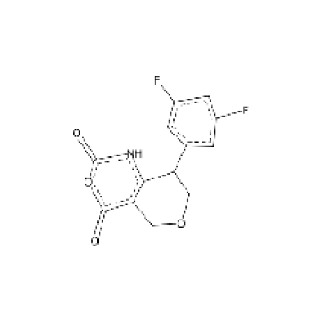 O=c1[nH]c2c(c(=O)o1)COCC2c1cc(F)cc(F)c1